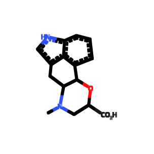 CN1CC(C(=O)O)OC2c3cccc4[nH]cc(c34)CC21